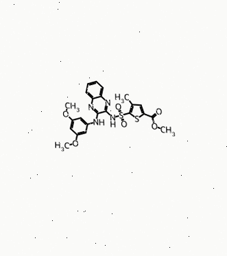 COC(=O)c1cc(C)c(S(=O)(=O)Nc2nc3ccccc3nc2Nc2cc(OC)cc(OC)c2)s1